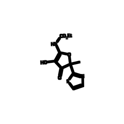 CCOC(=O)NC1=C(O)C(=O)C(C)(c2nccs2)O1